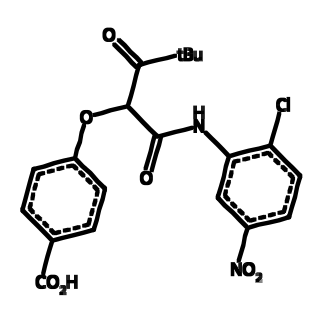 CC(C)(C)C(=O)C(Oc1ccc(C(=O)O)cc1)C(=O)Nc1cc([N+](=O)[O-])ccc1Cl